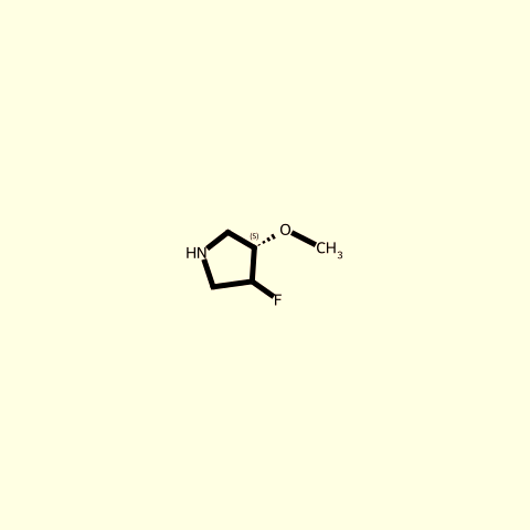 CO[C@H]1CNCC1F